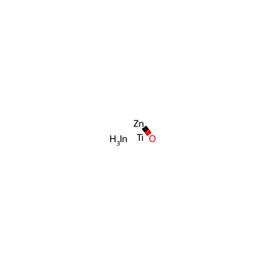 [InH3].[O]=[Zn].[Ti]